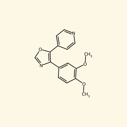 COc1ccc(-c2ncoc2-c2ccncc2)cc1OC